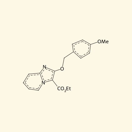 CCOC(=O)c1c(OCc2ccc(OC)cc2)nc2ccccn12